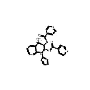 C[C@H]1c2ccccc2[C@H](C2C=CC=C2)C(OC(=O)c2ccncc2)C1OC(=O)c1ccncc1